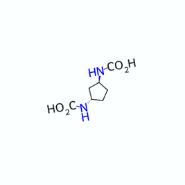 O=C(O)N[C@H]1CC[C@H](NC(=O)O)C1